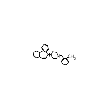 Cc1ccccc1CN1CCN(C2C=CC3=C(CCC=C3)c3ccccc32)CC1